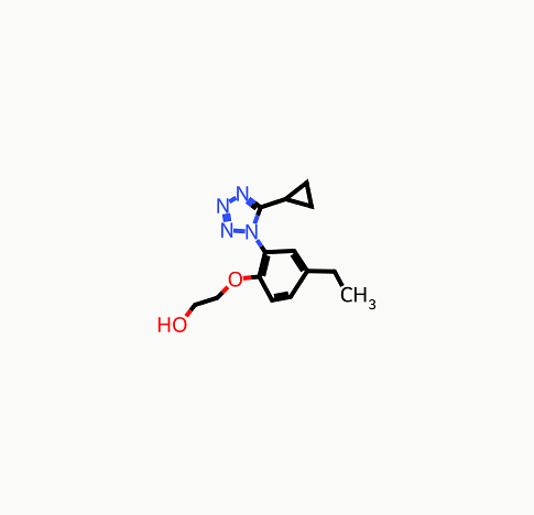 CCc1ccc(OCCO)c(-n2nnnc2C2CC2)c1